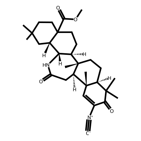 [C-]#[N+]C1=C[C@]2(C)[C@H]3CC(=O)N[C@H]4[C@@H](CCC5(C(=O)OC)CCC(C)(C)C[C@@H]45)[C@]3(C)CC[C@H]2C(C)(C)C1=O